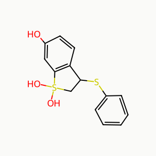 Oc1ccc2c(c1)S(O)(O)CC2Sc1ccccc1